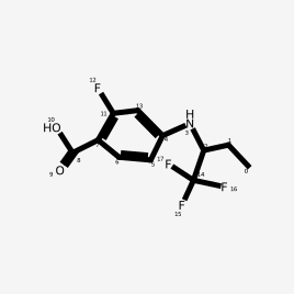 CCC(Nc1ccc(C(=O)O)c(F)c1)C(F)(F)F